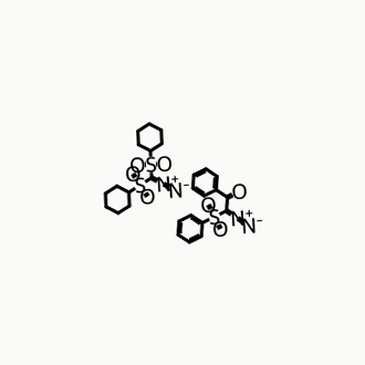 [N-]=[N+]=C(C(=O)c1ccccc1)S(=O)(=O)c1ccccc1.[N-]=[N+]=C(S(=O)(=O)C1CCCCC1)S(=O)(=O)C1CCCCC1